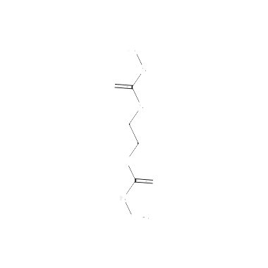 CCCCCCNC(=O)NCCSC(=O)NCCCCCC